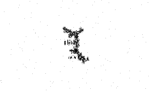 CCCCCCCCC1(CCCCCCCC)c2cc(-c3ccccc3)ccc2-c2ccc(-c3ccc(N(c4ccc(-c5ccc6c(c5)C(CCCCCCCC)(CCCCCCCC)c5cc(-c7ccc(N(c8ccc(-c9ccccc9)cc8)c8ccc(-c9ccc(-c%10ccc%11ccccc%11c%10)cc9)c(-c9ccccc9)c8)cc7)ccc5-6)cc4)c4ccc5c(c4)CC5)cc3)cc21